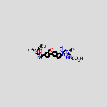 CCCN(Cc1ncc(-c2ccc3c(c2)COc2cc4c(ccc5nc(CN(CCC)C(=O)CNC(=O)O)[nH]c54)cc2-3)[nH]1)C(=O)C[C@@H](C)CC